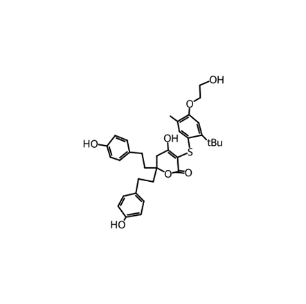 Cc1cc(SC2=C(O)CC(CCc3ccc(O)cc3)(CCc3ccc(O)cc3)OC2=O)c(C(C)(C)C)cc1OCCO